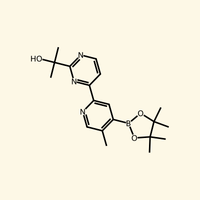 Cc1cnc(-c2ccnc(C(C)(C)O)n2)cc1B1OC(C)(C)C(C)(C)O1